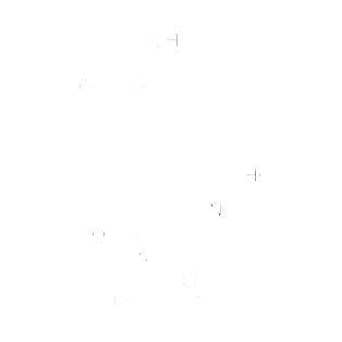 Cl.O=C(O)c1ccnc(S(=O)(=O)Cl)c1